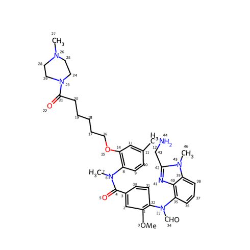 COc1cc(C(=O)N(C)c2ccc(C)cc2OCCCCCC(=O)N2CCN(C)CC2)ccc1N(C=O)c1cccc2c1nc(CN)n2C